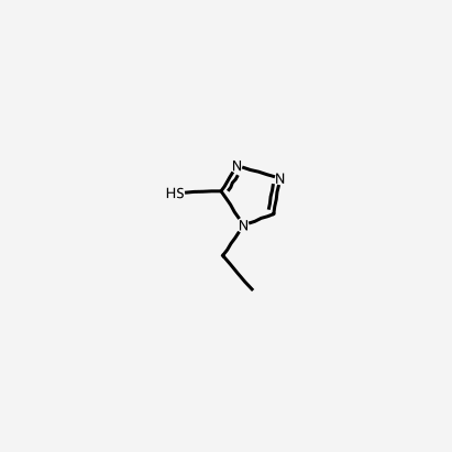 CCn1cnnc1S